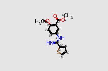 COC(=O)c1cc(NC(=N)c2cccs2)ccc1OC